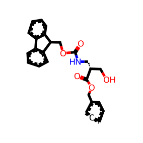 O=C(NC[C@H](CO)C(=O)OCc1ccccc1)OCC1c2ccccc2-c2ccccc21